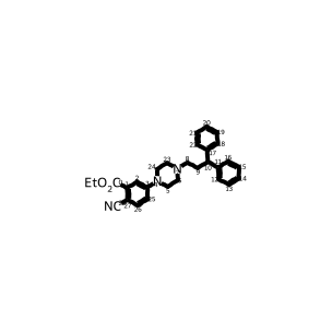 CCOC(=O)c1cc(N2CCN(CCC(c3ccccc3)c3ccccc3)CC2)ccc1C#N